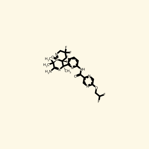 CC1(C)C(N)=N[C@](C)(c2nc(NC(=O)c3cnc(OCC(F)F)cn3)ccc2F)[C@H]2CC(F)(F)CN=[S@@]21=O